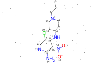 CCCN1CCC(Nc2c(Cl)cnc(N)c2[N+](=O)[O-])CC1